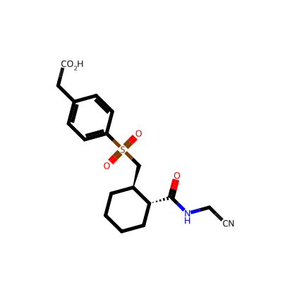 N#CCNC(=O)[C@@H]1CCCC[C@H]1CS(=O)(=O)c1ccc(CC(=O)O)cc1